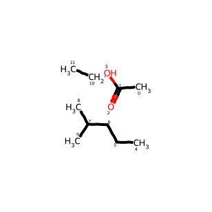 CC(=O)O.CCCC(C)C.[CH2]C